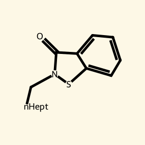 CCCCCCCCn1sc2ccccc2c1=O